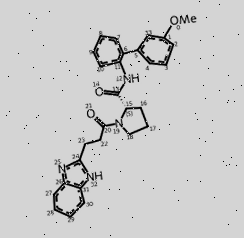 COc1cccc(-c2ccccc2NC(=O)[C@@H]2CCCN2C(=O)CCc2nc3ccccc3[nH]2)c1